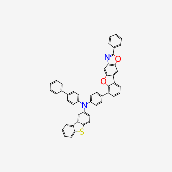 c1ccc(-c2ccc(N(c3ccc(-c4cccc5c4oc4cc6nc(-c7ccccc7)oc6cc45)cc3)c3ccc4sc5ccccc5c4c3)cc2)cc1